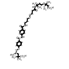 CP(CC(C)(C)C(=O)O)SOc1ccc([S+]([O-])Nc2ccc(C(=O)NCCCOOCCC(=O)NC(C)(C)CCOC(C)(C)CC(=O)O)cn2)cc1